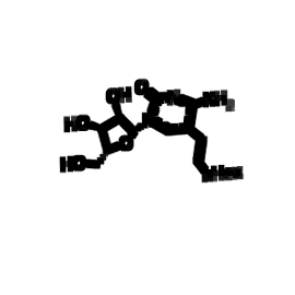 CCCCCC/C=C/c1cn([C@@H]2O[C@H](CO)[C@@H](O)[C@H]2O)c(=O)nc1N